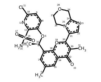 Cc1cc([C@@H](C)Oc2ccc(Cl)nc2S(N)(=O)=O)c2oc(-c3cnc4n3CCOC4)c(C)c(=O)c2c1